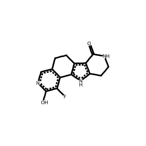 O=C1NCCc2[nH]c3c(c21)CCc1cnc(O)c(F)c1-3